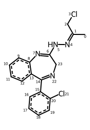 CC(CCl)=NNC1=Nc2ccccc2C(c2ccccc2Cl)=NC1